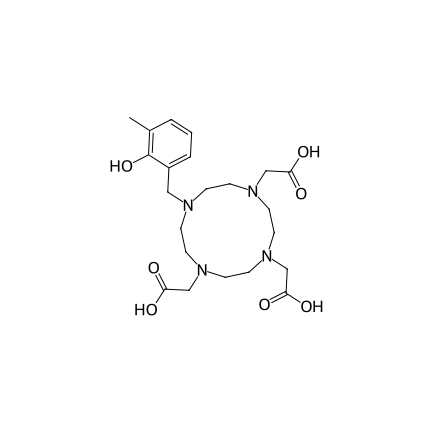 Cc1cccc(CN2CCN(CC(=O)O)CCN(CC(=O)O)CCN(CC(=O)O)CC2)c1O